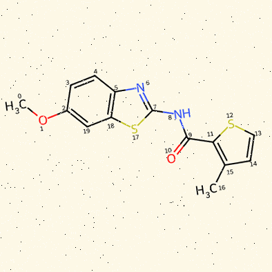 COc1ccc2nc(NC(=O)c3sccc3C)sc2c1